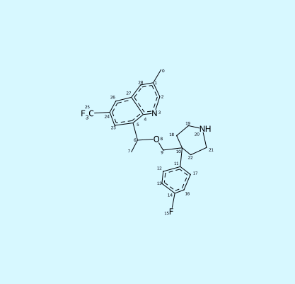 Cc1cnc2c(C(C)OCC3(c4ccc(F)cc4)CCNCC3)cc(C(F)(F)F)cc2c1